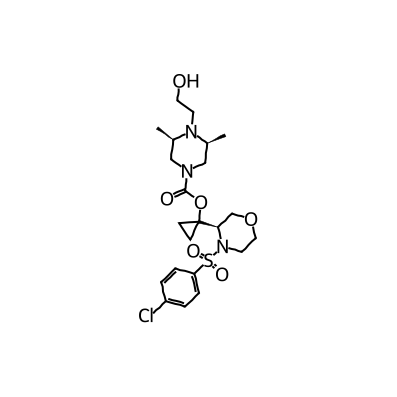 C[C@@H]1CN(C(=O)OC2([C@H]3COCCN3S(=O)(=O)c3ccc(Cl)cc3)CC2)C[C@H](C)N1CCO